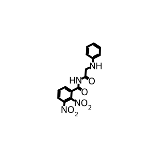 O=C(CNc1ccccc1)NC(=O)c1cccc([N+](=O)[O-])c1[N+](=O)[O-]